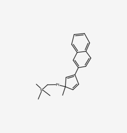 C[C]1([Pt][CH2][Si](C)(C)C)C=CC(c2ccc3ccccc3c2)=C1